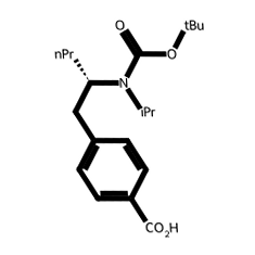 CCC[C@@H](Cc1ccc(C(=O)O)cc1)N(C(=O)OC(C)(C)C)C(C)C